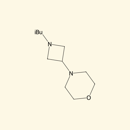 CCC(C)N1CC(N2CCOCC2)C1